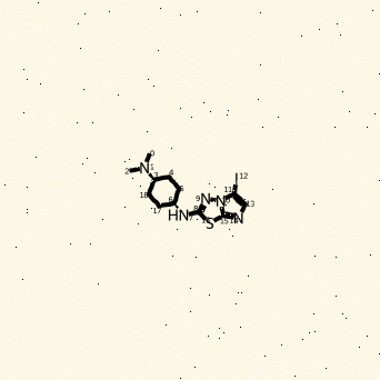 CN(C)[C@H]1CC[C@H](Nc2nn3c(I)cnc3s2)CC1